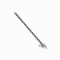 C[Si](Cl)(Cl)CCCCCCCCCCCCCCCCCCCCCCCCCCCCCCCCCI